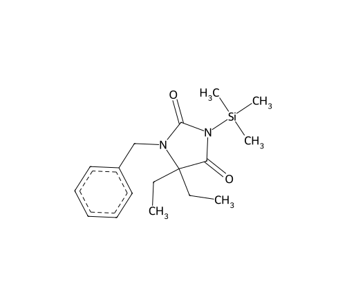 CCC1(CC)C(=O)N([Si](C)(C)C)C(=O)N1Cc1ccccc1